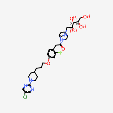 O=C(Cc1ccc(OCCCC2CCN(c3ncc(Cl)cn3)CC2)cc1F)N1CC2CCC1CN2C[C@H](O)[C@H](O)[C@H](O)CO